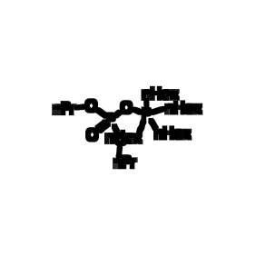 CCCCCCP(CCCCCC)(CCCCCC)(CCCCCC)OP(=O)(OCCC)OCCC